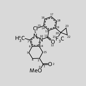 COC(=O)C1CCc2c(C)nn(C(=O)c3c(Cl)cccc3C3(C(F)(F)F)CC3)c2C1